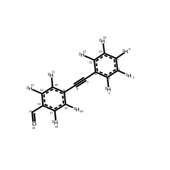 [2H]c1c([2H])c([2H])c(C#Cc2c([2H])c([2H])c(C=O)c([2H])c2[2H])c([2H])c1[2H]